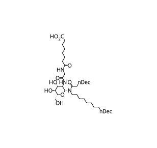 CCCCCCCCCCCCCCCCCCN(C(=O)CCCCCCCCCCC)[C@@H]1O[C@H](CO)[C@@H](O)[C@H](O)[C@H]1NC(=O)CNC(=O)CCCCCCC(=O)O